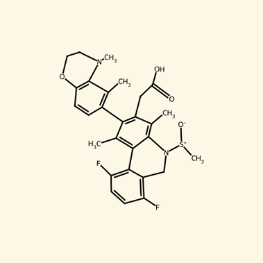 Cc1c(-c2ccc3c(c2C)N(C)CCO3)c(CC(=O)O)c(C)c2c1-c1c(F)ccc(F)c1CN2[S+](C)[O-]